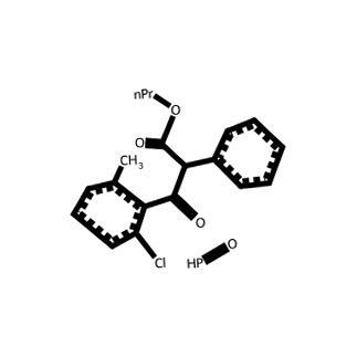 CCCOC(=O)C(C(=O)c1c(C)cccc1Cl)c1ccccc1.O=P